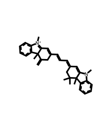 C=C1CC(/C=C/C=C2/C=C3N(C)c4ccccc4C3(C)C(C)(C)C2)=CC2=[N+](C)c3ccccc3C12C